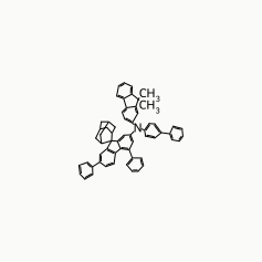 CC1(C)c2ccccc2-c2ccc(N(c3ccc(-c4ccccc4)cc3)c3cc(-c4ccccc4)c4c(c3)C3(c5cc(-c6ccccc6)ccc5-4)C4CC5CC(C4)CC3C5)cc21